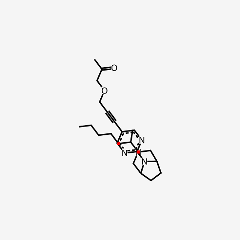 CCCCCC(C)N1CC2CCC(C1)N2c1ncc(C#CCOCC(C)=O)cn1